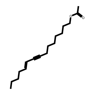 CCCCC=CC#CCCCCCCCOC(C)=O